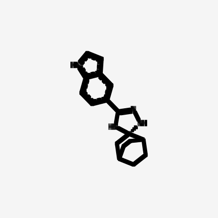 c1cc2cc(C3=NN[C@]4(CC5CCC4CC5)N3)ccc2[nH]1